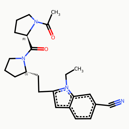 CCn1c(CC[C@@H]2CCCN2C(=O)[C@H]2CCCN2C(C)=O)cc2ccc(C#N)cc21